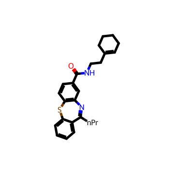 CCCC1=Nc2cc(C(=O)NCCC3=CCCCC3)ccc2Sc2ccccc21